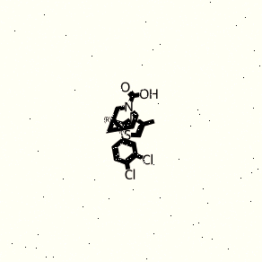 Cc1csc([C@@]23CN(C(=O)O)CC[C@@]2(c2ccc(Cl)c(Cl)c2)C3)n1